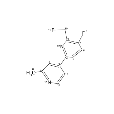 Cc1cc(-c2ccc(F)c(CF)n2)ccn1